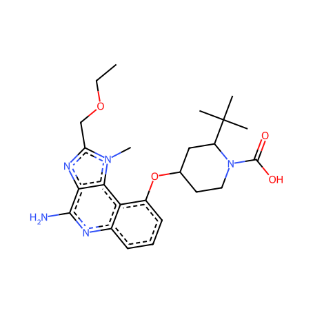 CCOCc1nc2c(N)nc3cccc(OC4CCN(C(=O)O)C(C(C)(C)C)C4)c3c2n1C